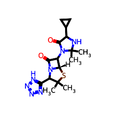 CC1(C)S[C@H]2C(N3C(=O)C(C4CC4)NC3(C)C)C(=O)N2C1c1nnn[nH]1